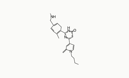 C=C1C=C(c2cc(=O)[nH]c(C3=C(C)C=CC(CNC)=CC3)n2)C=CN1CCCC